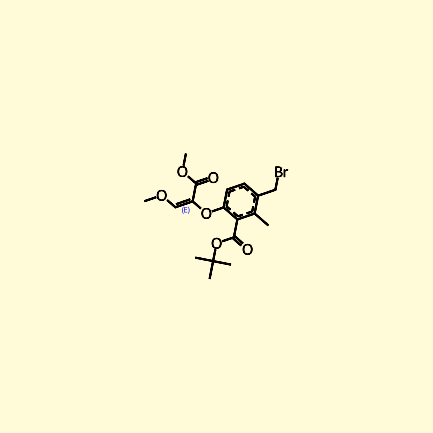 CO/C=C(/Oc1ccc(CBr)c(C)c1C(=O)OC(C)(C)C)C(=O)OC